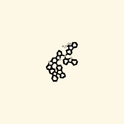 CC1(C)c2ccccc2-c2ccc(N(c3cccc4c3oc3ccccc34)c3cccc4c3oc3c(-c5ccc6c(c5)C(c5ccccc5)(c5ccccc5)c5ccccc5-6)c5c(cc34)oc3ccccc35)cc21